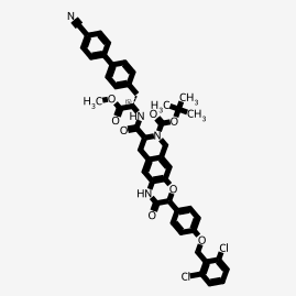 COC(=O)[C@H](Cc1ccc(-c2ccc(C#N)cc2)cc1)NC(=O)C1Cc2cc3c(cc2CN1C(=O)OC(C)(C)C)OC(c1ccc(OCc2c(Cl)cccc2Cl)cc1)C(=O)N3